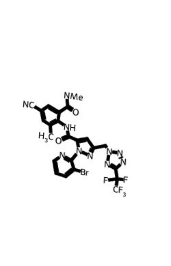 CNC(=O)c1cc(C#N)cc(C)c1NC(=O)c1cc(Cn2nnc(C(F)(F)C(F)(F)F)n2)nn1-c1ncccc1Br